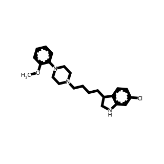 COc1ccccc1N1CCN(CCCCC2CNc3cc(Cl)ccc32)CC1